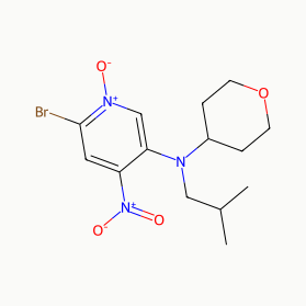 CC(C)CN(c1c[n+]([O-])c(Br)cc1[N+](=O)[O-])C1CCOCC1